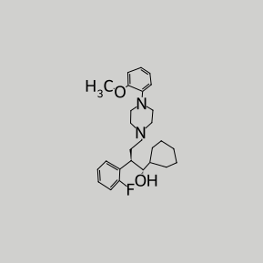 COc1ccccc1N1CCN(CC[C@H](c2ccccc2F)[C@@H](O)C2CCCCC2)CC1